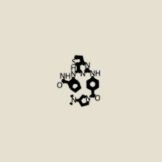 CN(C)C1CCN(C(=O)c2ccc(Nc3nc(NC4C5C=CC(C5)C4C(N)=O)c4sccc4n3)cc2)C1